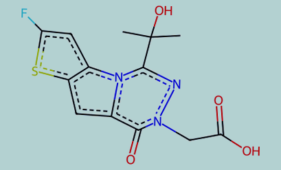 CC(C)(O)c1nn(CC(=O)O)c(=O)c2cc3sc(F)cc3n12